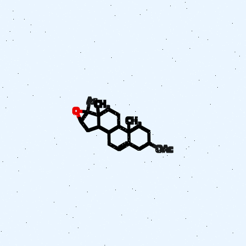 CC(=O)OC1CCC2(C)C(=CCC3C2CCC2(C)C3CC3OC32C(C)=O)C1